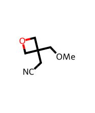 COCC1(CC#N)COC1